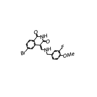 COc1ccc(CNC=C2C(=O)NC(=O)c3ccc(Br)cc32)cc1F